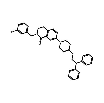 O=C1c2cc(N3CCN(CCC(c4ccccc4)c4ccccc4)CC3)ccc2CCN1Cc1cccc(F)c1